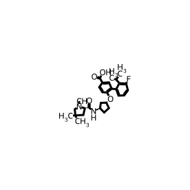 CC(C)c1c(F)cccc1-c1cc(C(=O)O)ccc1O[C@@H]1CC[C@@H](NC(=O)[C@@H]2CC(C)(C)CN2C)C1